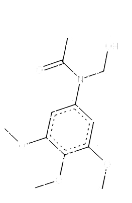 COc1cc(N(CO)C(C)=O)cc(OC)c1OC